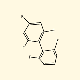 Fc1cc(F)c(-c2c(F)[c]ccc2F)c(F)c1